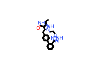 CCCN1NC(CC)=C(C(N)=O)C1Cc1ccc(-c2ccccc2-c2nn[nH]n2)cc1